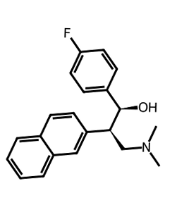 CN(C)C[C@@H](c1ccc2ccccc2c1)[C@H](O)c1ccc(F)cc1